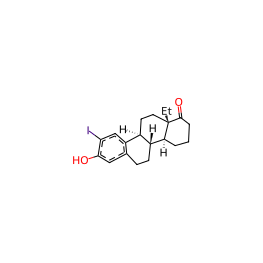 CC[C@]12CC[C@@H]3c4cc(I)c(O)cc4CC[C@H]3[C@@H]1CCCC2=O